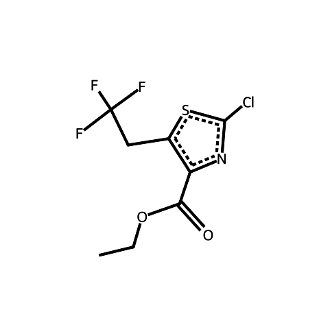 CCOC(=O)c1nc(Cl)sc1CC(F)(F)F